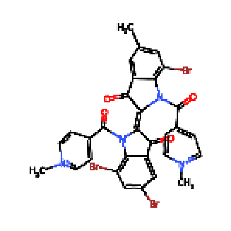 Cc1cc(Br)c2c(c1)C(=O)/C(=C1/C(=O)c3cc(Br)cc(Br)c3N1C(=O)c1cc[n+](C)cc1)N2C(=O)c1cc[n+](C)cc1